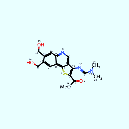 COC(=O)c1sc2c(cnc3cc(CO)c(CO)cc32)c1/N=C/N(C)C